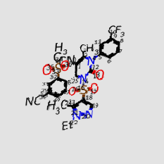 [C-]#[N+]C1=C(C)N(c2cccc(C(F)(F)F)c2)C(=O)N(S(=O)(=O)c2cnn(CC)c2C)[C@@H]1c1ccc(C#N)cc1S(C)(=O)=O